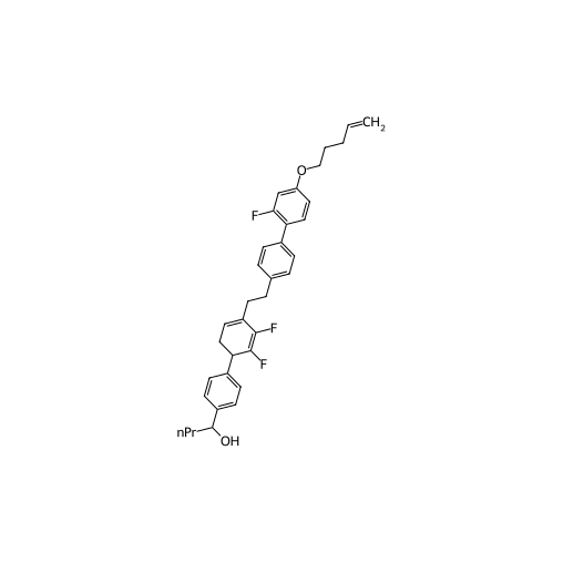 C=CCCCOc1ccc(-c2ccc(CCC3=CCC(c4ccc(C(O)CCC)cc4)C(F)=C3F)cc2)c(F)c1